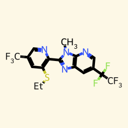 CCSc1cc(C(F)(F)F)cnc1-c1nc2cc(C(F)(F)C(F)(F)F)cnc2n1C